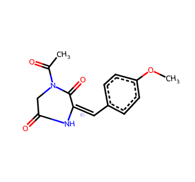 COc1ccc(/C=C2/NC(=O)CN(C(C)=O)C2=O)cc1